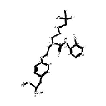 CCOC(Cc1ccc(OCCN(CCOCC(C)(F)F)C(=O)Nc2ccccc2Cl)cc1)C(=O)O